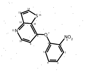 O=[N+]([O-])c1ccccc1Oc1ccnc2ccsc12